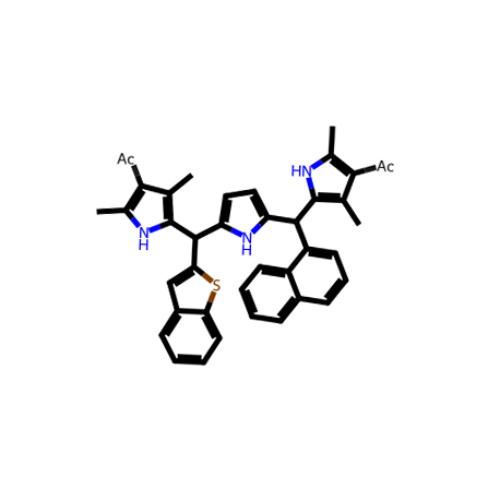 CC(=O)c1c(C)[nH]c(C(c2ccc(C(c3[nH]c(C)c(C(C)=O)c3C)c3cccc4ccccc34)[nH]2)c2cc3ccccc3s2)c1C